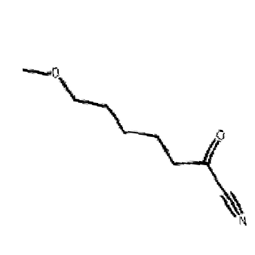 COCCCCCC(=O)C#N